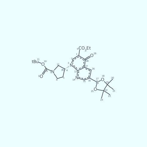 CCOC(=O)c1cn([C@@H]2CCN(C(=O)OC(C)(C)C)C2)c2ncc(B3OC(C)(C)C(C)(C)O3)cc2c1=O